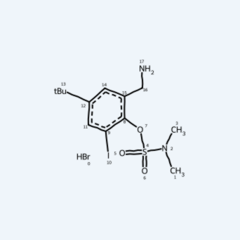 Br.CN(C)S(=O)(=O)Oc1c(I)cc(C(C)(C)C)cc1CN